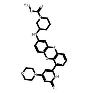 CC(C)(C)OC(=O)N1CCCC(Nc2ccc3c(c2)Sc2cccc(-c4cc(N5CCOCC5)cc(=O)[nH]4)c2O3)C1